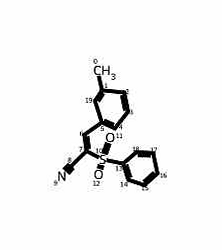 Cc1cccc(/C=C(/C#N)S(=O)(=O)c2ccccc2)c1